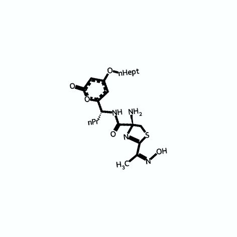 CCCCCCCOc1cc([C@@H](CCC)NC(=O)[C@]2(N)CSC(/C(C)=N\O)=N2)oc(=O)c1